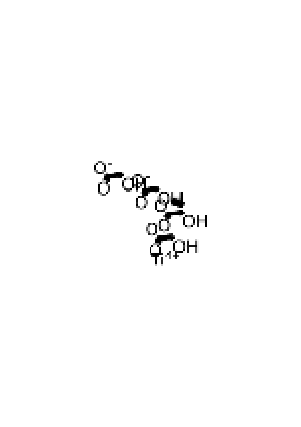 C=C.O=C([O-])CO.O=C([O-])CO.O=C([O-])CO.O=C([O-])CO.[Ti+4]